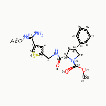 CC(=O)O/N=C(/N)c1csc(CNC(=O)[C@@H]2C[C@H](c3ccccc3)CN2C(=O)OC(C)(C)C)c1